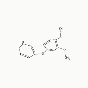 COc1cc(OC2=CNCC=[C]2)ccc1SC